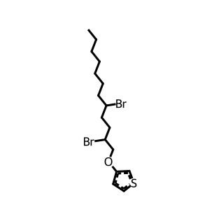 CCCCCCCC(Br)CCC(Br)COc1ccsc1